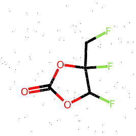 O=C1OC(F)C(F)(CF)O1